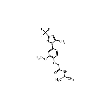 COc1cc(-n2nc(C(F)(F)F)cc2C)ccc1OCC(=O)NC(C)C